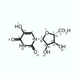 O=C(O)[C@H]1O[C@@H](n2cc(O)c(=O)[nH]c2=O)[C@H](O)[C@@H]1O